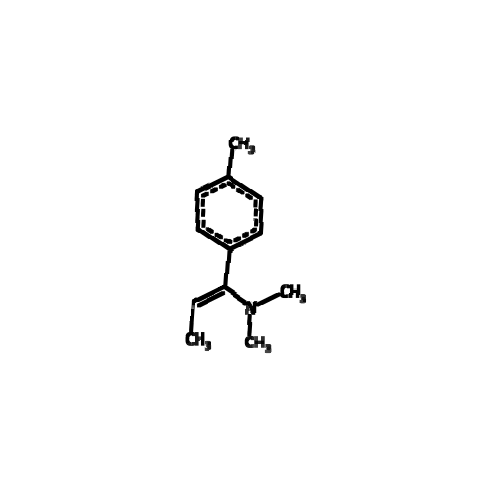 C/C=C(/c1ccc(C)cc1)N(C)C